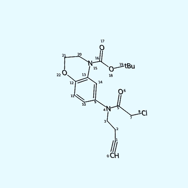 C#CCCN(C(=O)CCl)c1ccc2c(c1)N(C(=O)OC(C)(C)C)CCO2